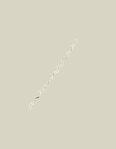 CCCC=CCCCCCCCCCCCCCCCCC